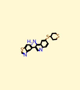 Nc1c(-c2ccc3scnc3c2)cnc2ccc(SC3CCSCC3)cc12